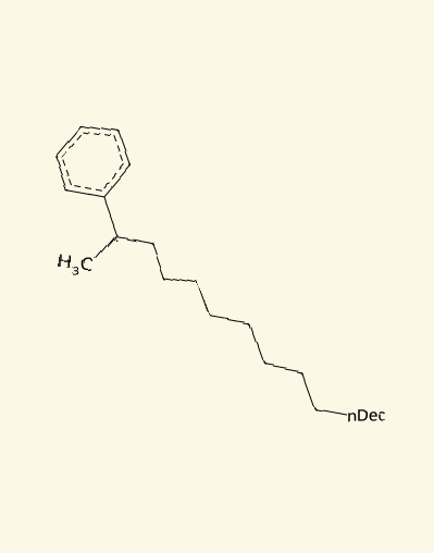 CCCCCCCCCCCCCCCCCC[C](C)c1ccccc1